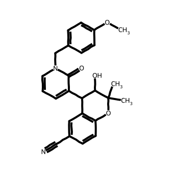 COc1ccc(Cn2cccc(C3c4cc(C#N)ccc4OC(C)(C)C3O)c2=O)cc1